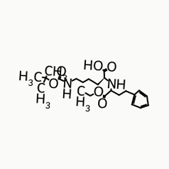 CCOC(=O)C(CCc1ccccc1)N[C@@H](CCCCNC(=O)OC(C)(C)C)C(=O)O